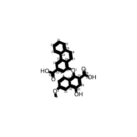 COc1ccc2c(Oc3cc(C(=O)O)cc4c3ccc3ccccc34)c(C(=O)O)cc(O)c2c1